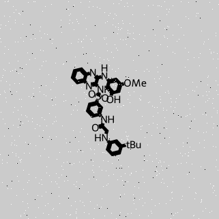 COc1cc(O)cc(Nc2nc3ccccc3nc2NS(=O)(=O)c2cccc(NC(=O)CNc3cccc(C(C)(C)C)c3)c2)c1